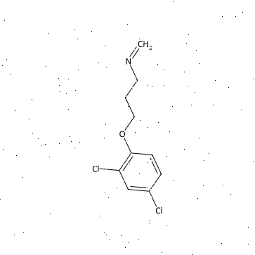 C=NCCCOc1ccc(Cl)cc1Cl